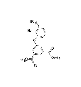 COC(=O)c1cc(Oc2cccc(S(=O)(=O)O)[c]2[Na])cc(C(=O)OC)c1